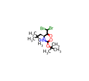 CC(C)(C)C[C@H](NC(=O)OC(C)(C)C)C(=O)C(Br)Br